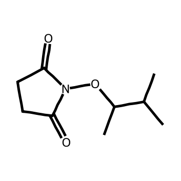 CC(C)C(C)ON1C(=O)CCC1=O